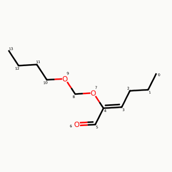 CCCC=C(C=O)OCOCCCC